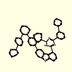 c1ccc(-c2ccc(-c3ccccc3-c3ccc(-c4ccc5sc6cccc(C7=NC(c8cccc(-c9ccccc9)c8)=NC(c8ccccc8)N7)c6c5c4)cc3)cc2)cc1